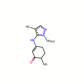 CCCCCn1ncc(C#N)c1NC1=CC(=O)C(CCC)CC1